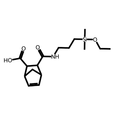 CCO[Si](C)(C)CCCNC(=O)C1C2C=CC(C2)C1C(=O)O